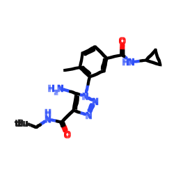 Cc1ccc(C(=O)NC2CC2)cc1-n1nnc(C(=O)NCC(C)(C)C)c1N